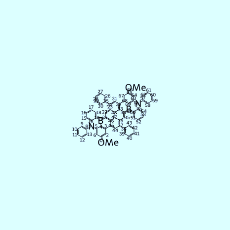 COc1cc2c3c(c1)N(c1ccccc1)c1ccccc1B3c1cc3c(-c4ccccc4)cc4c5c(cc6c(-c7ccccc7)cc-2c1c6c35)B1c2ccccc2N(c2ccccc2)c2cc(OC)cc-4c21